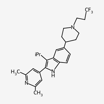 Cc1cc(-c2[nH]c3ccc(C4CCN(CCC(F)(F)F)CC4)cc3c2C(C)C)cc(C)n1